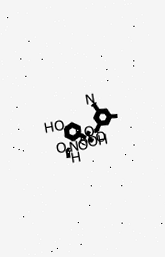 CC(=O)Nc1cc(O)ccc1[As](=O)(O)OC(=O)c1cc(C)cc(C#N)c1